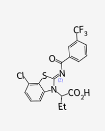 CCC(C(=O)O)n1/c(=N/C(=O)c2cccc(C(F)(F)F)c2)sc2c(Cl)cccc21